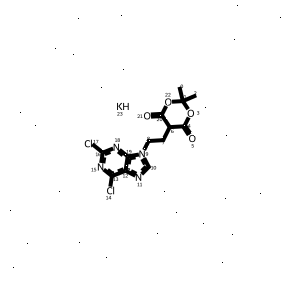 CC1(C)OC(=O)C(CCn2cnc3c(Cl)nc(Cl)nc32)C(=O)O1.[KH]